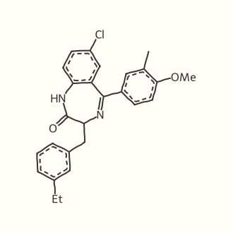 CCc1cccc(CC2N=C(c3ccc(OC)c(C)c3)c3cc(Cl)ccc3NC2=O)c1